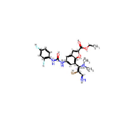 CCOC(=O)c1cc2cc(NC(=O)Nc3ccc(F)cc3F)cc(/C(=C(\Br)C=N)N(C)C)c2o1